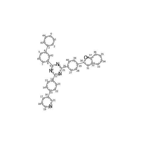 c1ccc(-c2cccc(-c3nc(-c4ccc(-c5cccnc5)cc4)nc(-c4ccc(-c5cc6ccccc6o5)cc4)n3)c2)cc1